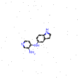 Nc1cnccc1Nc1ccc2[nH]ccc2c1